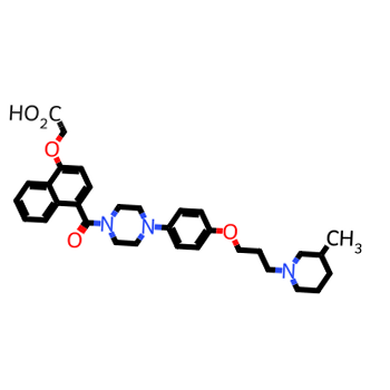 CC1CCCN(CCCOc2ccc(N3CCN(C(=O)c4ccc(OCC(=O)O)c5ccccc45)CC3)cc2)C1